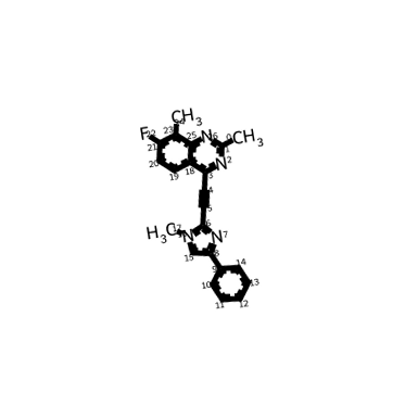 Cc1nc(C#Cc2nc(-c3ccccc3)cn2C)c2ccc(F)c(C)c2n1